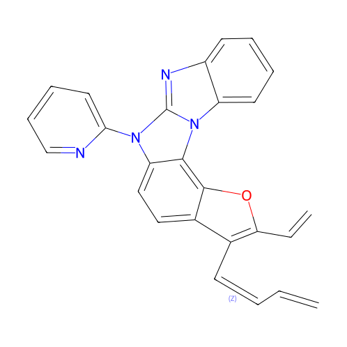 C=C/C=C\c1c(C=C)oc2c1ccc1c2n2c3ccccc3nc2n1-c1ccccn1